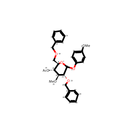 COc1ccc(OC2O[C@H](COCc3ccccc3)[C@@H](OC(C)=O)[C@H](OC)[C@H]2OCc2ccccc2)cc1